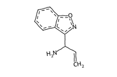 C=CC(N)c1noc2ccccc12